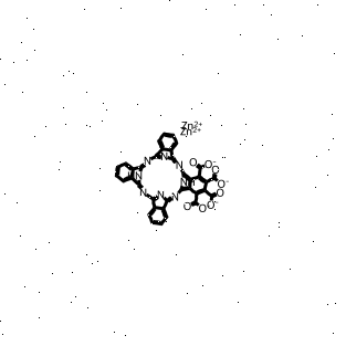 O=C([O-])c1c(C(=O)[O-])c(C(=O)[O-])c2c3nc4nc(nc5[nH]c(nc6nc(nc([nH]3)c2c1C(=O)[O-])-c1ccccc1-6)c1ccccc51)-c1ccccc1-4.[Zn+2].[Zn+2]